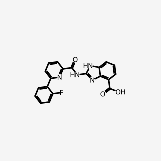 O=C(Nc1nc2c(C(=O)O)cccc2[nH]1)c1cccc(-c2ccccc2F)n1